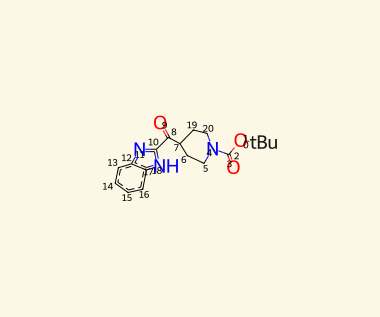 CC(C)(C)OC(=O)N1CCC(C(=O)c2nc3ccccc3[nH]2)CC1